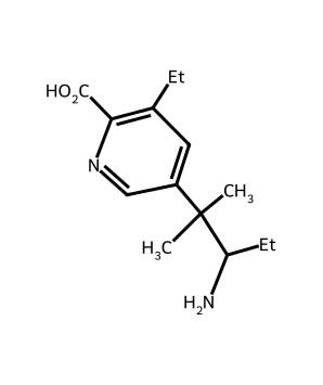 CCc1cc(C(C)(C)C(N)CC)cnc1C(=O)O